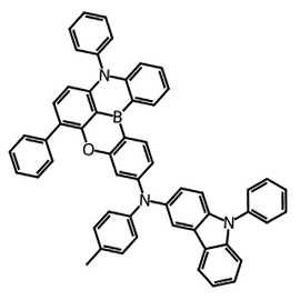 Cc1ccc(N(c2ccc3c(c2)Oc2c(-c4ccccc4)ccc4c2B3c2ccccc2N4c2ccccc2)c2ccc3c(c2)c2ccccc2n3-c2ccccc2)cc1